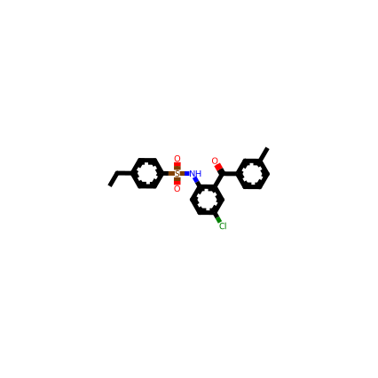 CCc1ccc(S(=O)(=O)Nc2ccc(Cl)cc2C(=O)c2cccc(C)c2)cc1